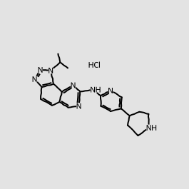 CC(C)n1nnc2ccc3cnc(Nc4ccc(C5CCNCC5)cn4)nc3c21.Cl